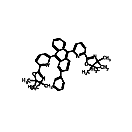 CC1(C)N=C(c2cccc(-c3c4ccccc4c(-c4cccc(C5=NC(C)(C)C(C)(C)O5)n4)c4cc(-c5ccccc5)ccc34)n2)OC1(C)C